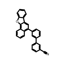 N#Cc1cccc(-c2cccc(-c3cc4c5ccccc5oc4c4ccccc34)c2)c1